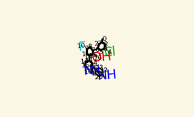 Cc1cc(Cl)cc(-c2cc(F)cc(-c3ccnc(N4CCNCC4)c3)c2O)c1